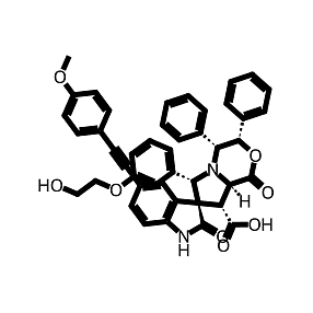 COc1ccc(C#Cc2ccc3c(c2)[C@]2(C(=O)N3)[C@H](c3cccc(OCCO)c3)N3[C@H](c4ccccc4)[C@H](c4ccccc4)OC(=O)[C@H]3[C@@H]2C(=O)O)cc1